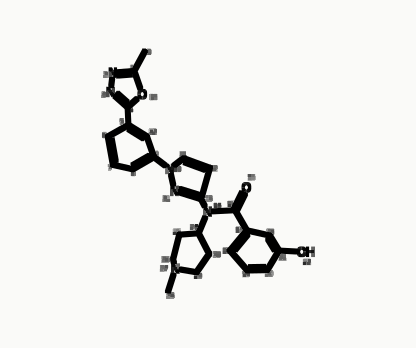 Cc1nnc(-c2cccc(-n3ccc(N(C(=O)c4cccc(O)c4)C4CCN(C)CC4)n3)c2)o1